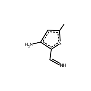 Cc1cc(N)c(C=N)s1